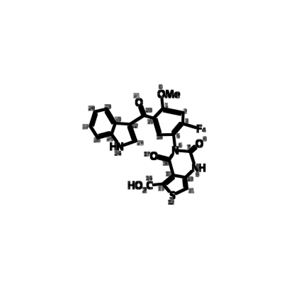 COc1cc(F)c(-n2c(=O)[nH]c3csc(C(=O)O)c3c2=O)cc1C(=O)c1c[nH]c2ccccc12